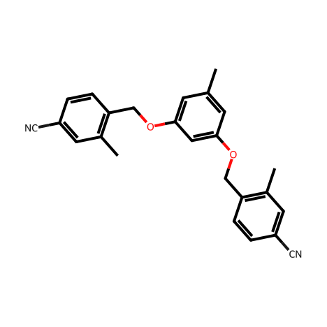 Cc1cc(OCc2ccc(C#N)cc2C)cc(OCc2ccc(C#N)cc2C)c1